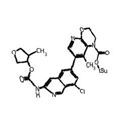 Cc1c(-c2cc(Cl)c3cnc(NC(=O)OC4COCC4C)cc3c2)cnc2c1N(C(=O)OC(C)(C)C)CCO2